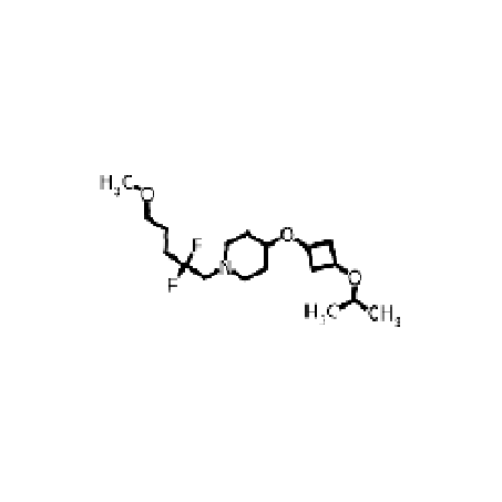 COCCCC(F)(F)CN1CCC(OC2CC(OC(C)C)C2)CC1